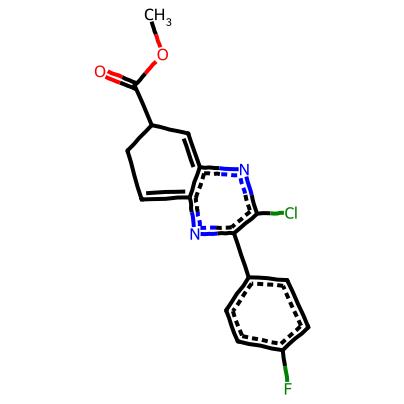 COC(=O)C1C=c2nc(Cl)c(-c3ccc(F)cc3)nc2=CC1